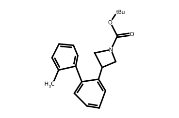 Cc1ccccc1-c1ccccc1C1CN(C(=O)OC(C)(C)C)C1